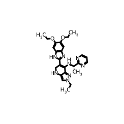 CCOc1cc2nc(C3=C(N[C@@H](C)c4ncccn4)c4nn(CC)cc4NC3)[nH]c2cc1OCC